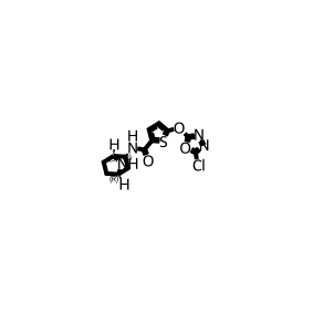 O=C(N[C@@H]1C[C@H]2CC[C@@H]1N2)c1ccc(Oc2nnc(Cl)o2)s1